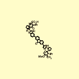 COC(=O)N(C)[C@H](C(=O)N1CCC[C@H]1c1ncc(-c2ccc3c(c2)C(=O)c2cc(-c4ccc5nc([C@@H]6[C@H]7CC[C@H](C7)N6C(=O)[C@@H](NC(=O)O)C(C)C)[nH]c5c4)ccc2-3)[nH]1)C(C)C